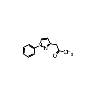 CC(=O)Cc1ccn(-c2ccccc2)n1